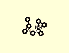 c1ccc(-c2ccc3c(c2)c2ccccc2n3-c2cccc(-n3c4ccccc4c4c3nc3c5ccccc5c5ccccc5n34)c2)cc1